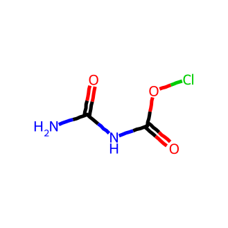 NC(=O)NC(=O)OCl